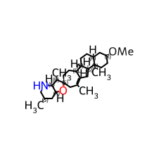 CO[C@@H]1CC[C@@]2(C)[C@H](CC[C@H]3[C@@H]4CC[C@@]5(CC(C)=C4C[C@@H]32)O[C@@H]2C[C@H](C)CN[C@H]2[C@H]5C)C1